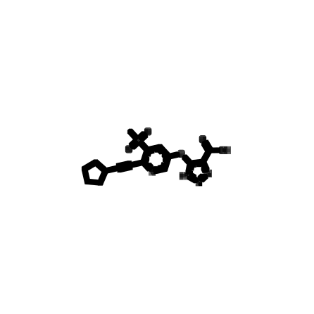 CS(=O)(=O)c1cc(Oc2[nH]nnc2C(=O)O)cnc1C#CC1CCCC1